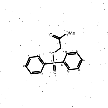 COC(=O)COP(=O)(c1ccccc1)c1ccccc1